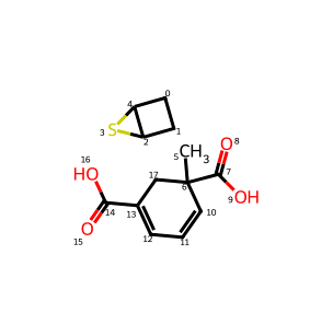 C1CC2SC12.CC1(C(=O)O)C=CC=C(C(=O)O)C1